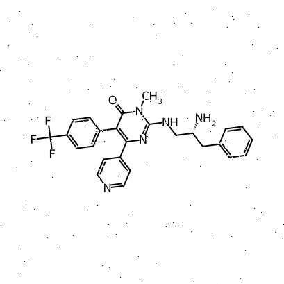 Cn1c(NC[C@H](N)Cc2ccccc2)nc(-c2ccncc2)c(-c2ccc(C(F)(F)F)cc2)c1=O